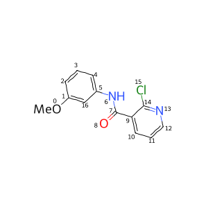 COc1cccc(NC(=O)c2cccnc2Cl)c1